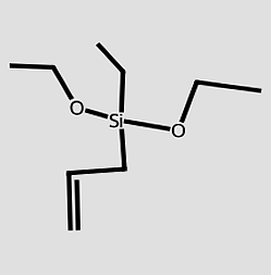 C=CC[Si](CC)(OCC)OCC